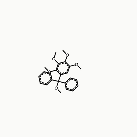 COc1cc(C(OC)(c2ccccc2)c2ccccc2)c(OC)c(OC)c1OC